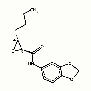 CCCC[C@H]1O[C@@H]1C(=O)Nc1ccc2c(c1)OCO2